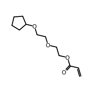 C=CC(=O)OCCOCCOC1CCCC1